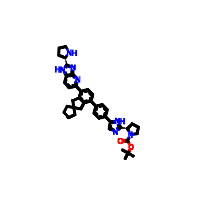 CC(C)(C)OC(=O)N1CCC[C@H]1c1ncc(-c2ccc(-c3ccc(-c4ccc5[nH]c([C@@H]6CCCN6)nc5n4)c4c3CC3(CCCC3)C4)cc2)[nH]1